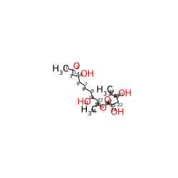 CC(=O)CC(O)CCCCC(O)C[C@@H](C)O[C@@H]1OC(C)[C@H](O)CC1O